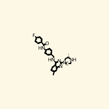 Cc1ccc2c(NCc3ccc(NC(=O)c4ccc(F)cc4)cc3)nc(N3CCN[C@@H](C)C3)nc2c1